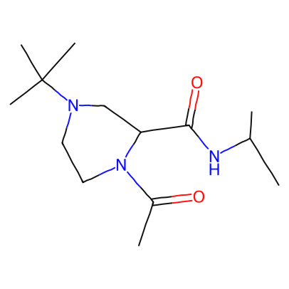 CC(=O)N1CCN(C(C)(C)C)CC1C(=O)NC(C)C